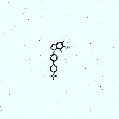 CS(=O)(=O)N1CCN(c2cnc(-n3ncc4cc(F)c(O)c(F)c43)nc2)CC1